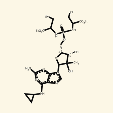 CCOC(=O)C(CC(C)C)NP(=O)(NC(CC(C)C)C(=O)OCC)OC[C@H]1OC(n2cnc3c(NC4CC4)nc(N)nc32)C(C)(O)[C@H]1O